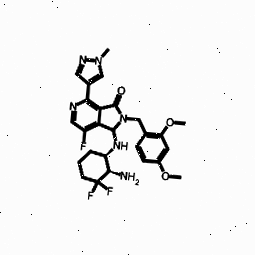 COc1ccc(CN2C(=O)c3c(-c4cnn(C)c4)ncc(F)c3C2N[C@@H]2CCCC(F)(F)[C@@H]2N)c(OC)c1